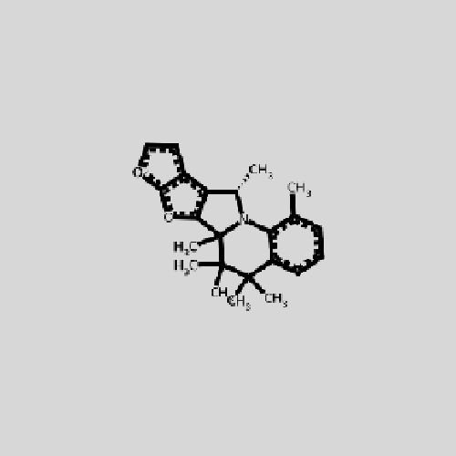 Cc1cccc2c1N1[C@@H](C)c3c(oc4occc34)C1(C)C(C)(C)C2(C)C